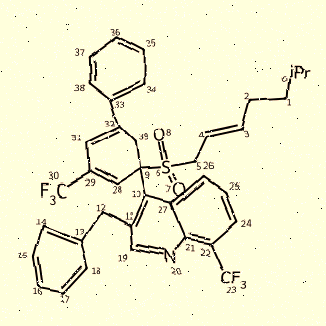 CC(C)CCC=CCS(=O)(=O)C1(c2c(Cc3ccccc3)cnc3c(C(F)(F)F)cccc23)C=C(C(F)(F)F)C=C(c2ccccc2)C1